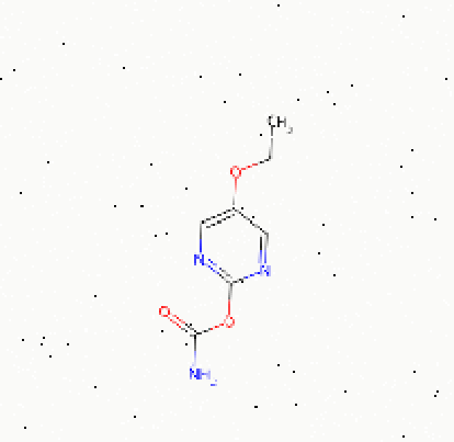 CCOc1cnc(OC(N)=O)nc1